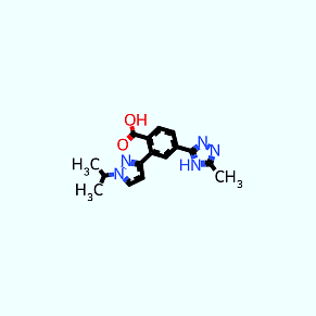 Cc1nnc(-c2ccc(C(=O)O)c(-c3ccn(C(C)C)n3)c2)[nH]1